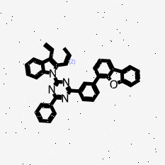 C=Cc1c(/C=C\C)n(-c2nc(-c3ccccc3)nc(-c3cccc(-c4cccc5c4oc4ccccc45)c3)n2)c2ccccc12